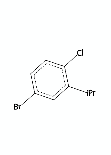 CC(C)c1cc(Br)ccc1Cl